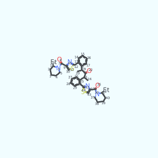 CCC1CCCCN1C(=O)c1csc(-c2ccccc2C(C)C(=O)C(C)c2ccccc2-c2nc(C(=O)N3CCCCC3CC)cs2)n1